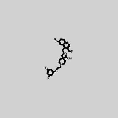 COc1ccc2ncc(CF)c(CCCC3(C(=O)O)CCN(CCOc4cc(F)cc(F)c4)CC3)c2c1